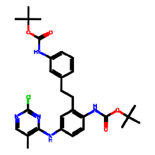 Cc1cnc(Cl)nc1Nc1ccc(NC(=O)OC(C)(C)C)c(CCc2cccc(NC(=O)OC(C)(C)C)c2)c1